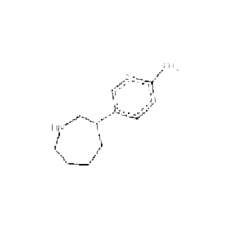 Cc1ccc(C2CCCCNC2)cn1